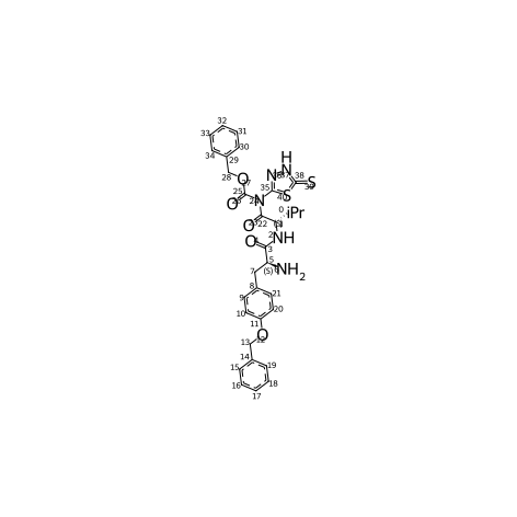 CC(C)[C@H](NC(=O)[C@@H](N)Cc1ccc(OCc2ccccc2)cc1)C(=O)N(C(=O)OCc1ccccc1)c1n[nH]c(=S)s1